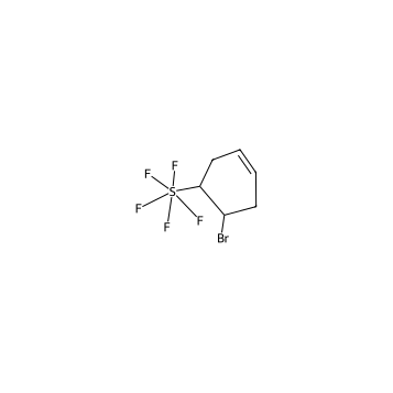 FS(F)(F)(F)(F)C1CC=CCC1Br